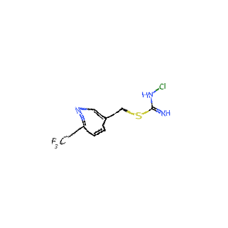 N=C(NCl)SCc1ccc(C(F)(F)F)nc1